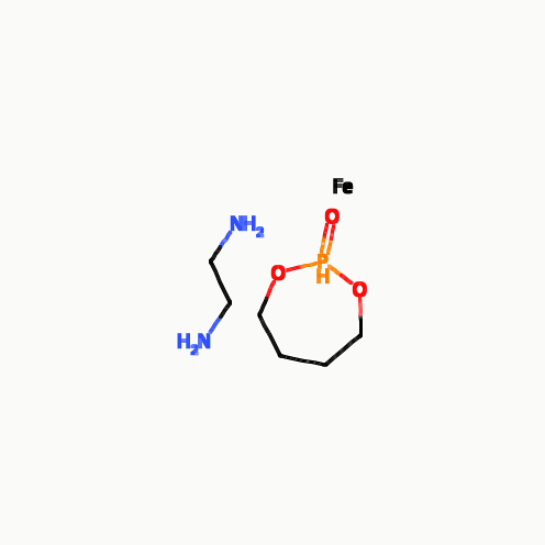 NCCN.O=[PH]1OCCCCO1.[Fe]